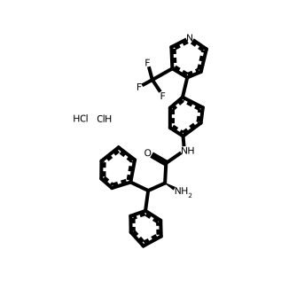 Cl.Cl.N[C@H](C(=O)Nc1ccc(-c2ccncc2C(F)(F)F)cc1)C(c1ccccc1)c1ccccc1